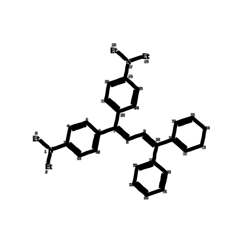 CCN(CC)c1ccc(C(=CC=C(C2=CCCC=C2)c2ccccc2)c2ccc(N(CC)CC)cc2)cc1